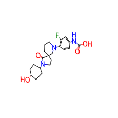 O=C(O)Nc1ccc(N2CCCC3(CCN(C4CCC(O)CC4)C3=O)C2)c(F)c1